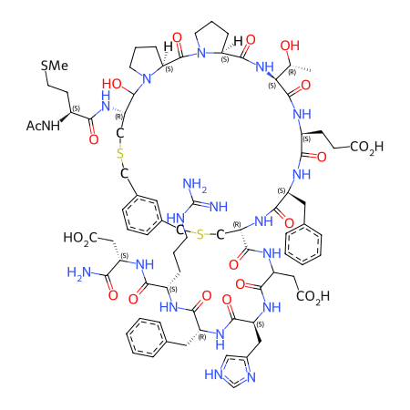 CSCC[C@H](NC(C)=O)C(=O)N[C@H]1CSCc2cccc(c2)CSC[C@@H](C(=O)NC(CC(=O)O)C(=O)N[C@@H](Cc2c[nH]cn2)C(=O)N[C@H](Cc2ccccc2)C(=O)N[C@@H](CCCNC(=N)N)C(=O)N[C@@H](CC(=O)O)C(N)=O)NC(=O)[C@H](Cc2ccccc2)NC(=O)[C@H](CCC(=O)O)NC(=O)[C@H]([C@@H](C)O)NC(=O)[C@@H]2CCCN2C(=O)[C@@H]2CCCN2C1O